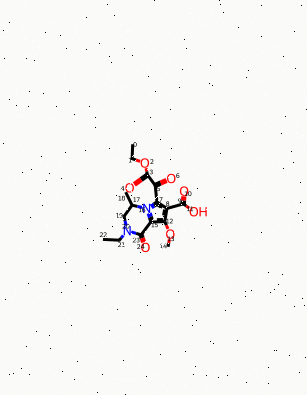 CCOC(=O)C(=O)c1c(C(=O)O)c(OC)c2n1C(C)CN(CC)C2=O